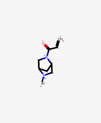 C=CC(=O)N1CC2CC1CN2C(C)C